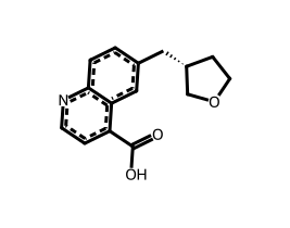 O=C(O)c1ccnc2ccc(C[C@@H]3CCOC3)cc12